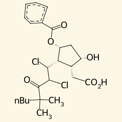 CCCCC(C)(C)C(=O)C(Cl)C(Cl)[C@H]1[C@@H](CC(=O)O)[C@@H](O)C[C@H]1OC(=O)c1ccccc1